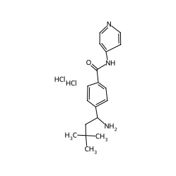 CC(C)(C)CC(N)c1ccc(C(=O)Nc2ccncc2)cc1.Cl.Cl